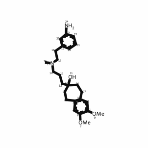 COc1cc2c(cc1OC)CCC(O)(CCCN(C)CCc1cccc(N)c1)CC2